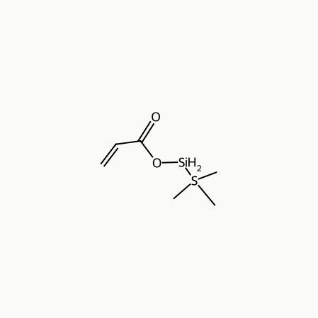 C=CC(=O)O[SiH2]S(C)(C)C